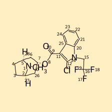 CN1[C@@H]2CC[C@H]1C[C@H](OC(=O)c1c(Cl)n(CC(F)(F)F)c3ccccc13)C2